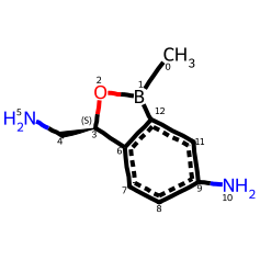 CB1O[C@H](CN)c2ccc(N)cc21